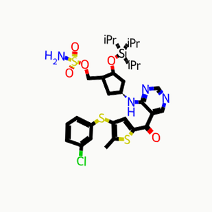 Cc1sc(C(=O)c2cncnc2N[C@@H]2CC(COS(N)(=O)=O)C(O[Si](C(C)C)(C(C)C)C(C)C)C2)cc1Sc1cccc(Cl)c1